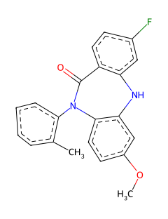 COc1ccc2c(c1)Nc1cc(F)ccc1C(=O)N2c1ccccc1C